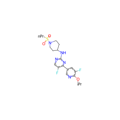 CCCS(=O)(=O)N1CCC(Nc2ncc(F)c(-c3cnc(OC(C)C)c(F)c3)n2)CC1